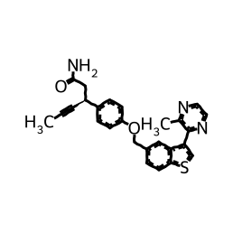 CC#C[C@@H](CC(N)=O)c1ccc(OCc2ccc3scc(-c4nccnc4C)c3c2)cc1